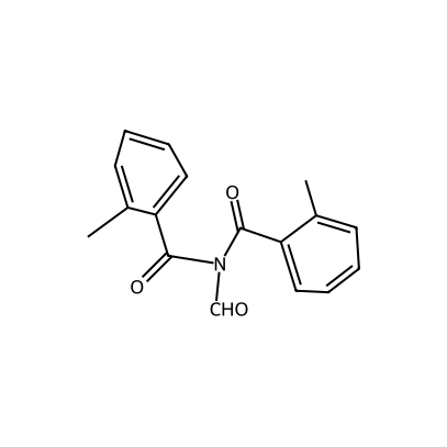 Cc1ccccc1C(=O)N(C=O)C(=O)c1ccccc1C